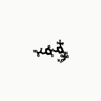 CCS(=O)(=O)Nc1cc(COc2c(Cl)cc(CC(F)C(=O)O)cc2Cl)cc(C(F)(F)F)c1